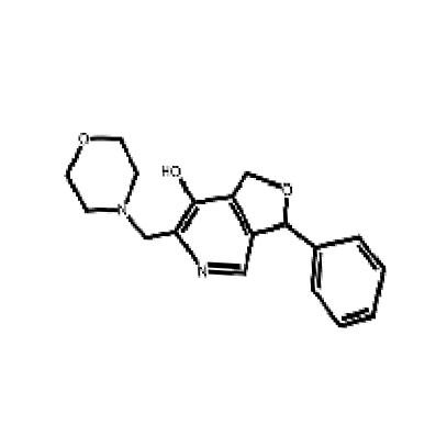 Oc1c(CN2CCOCC2)ncc2c1COC2c1ccccc1